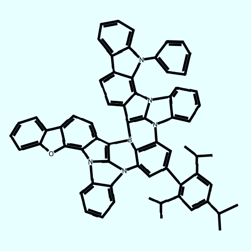 CC(C)c1cc(C(C)C)c(-c2cc3c4c(c2)-n2c5ccccc5n5c6c(ccc7c8ccccc8n(-c8ccccc8)c76)c(c25)B4c2c4ccc5c6ccccc6oc5c4n4c5ccccc5n-3c24)c(C(C)C)c1